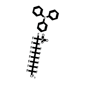 O=S(=O)([O-])C(F)(F)C(F)(F)C(F)(F)C(F)(F)C(F)(F)C(F)(F)C(F)(F)C(F)(F)C(F)(F)F.c1ccc([S+](c2ccccc2)c2ccccc2)cc1